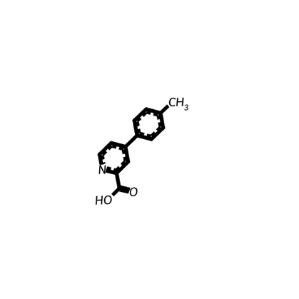 Cc1ccc(-c2ccnc(C(=O)O)c2)cc1